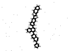 c1ccc(-c2ccc3cc(-c4ccc(-c5ccc6cc7c(cc6c5)sc5c6cc8ccccc8cc6sc75)c5ccccc45)ccc3c2)cc1